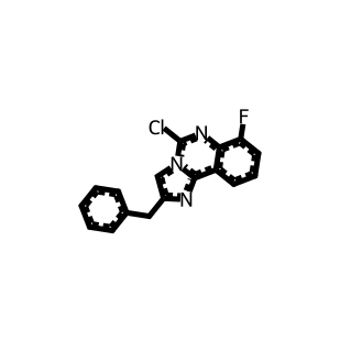 Fc1cccc2c1nc(Cl)n1cc(Cc3ccccc3)nc21